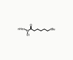 CCCCCCN(CC)C(=O)CCCCCC(C)(C)C